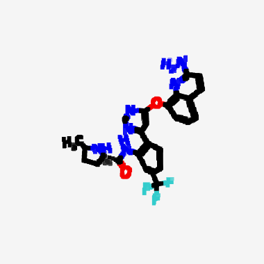 CC1CC[C@@H](C(=O)Nc2cc(C(F)(F)F)ccc2-c2cc(Oc3cccc4ccc(N)nc34)ncn2)N1